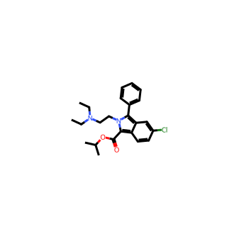 CCN(CC)CCn1c(C(=O)OC(C)C)c2ccc(Cl)cc2c1-c1ccccc1